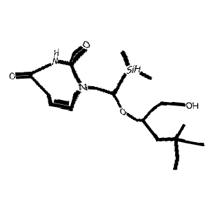 C[SiH](C)C(OC(CO)CC(C)(C)C)n1ccc(=O)[nH]c1=O